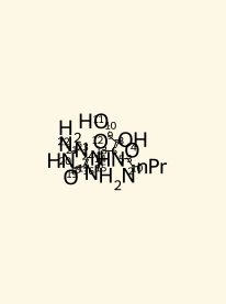 CCCC(N)C(=O)NC1C(O)[C@@H](CO)O[C@H]1n1cnc2c(=O)[nH]c(N)nc21